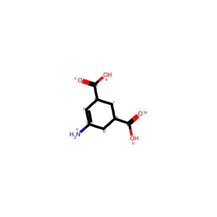 NC1=CC(C(=O)O)CC(C(=O)O)C1